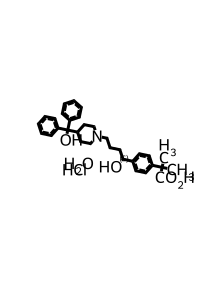 CC(C)(C(=O)O)c1ccc([C@@H](O)CCCN2CCC(C(O)(c3ccccc3)c3ccccc3)CC2)cc1.Cl.O